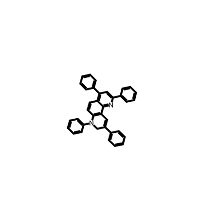 C1=C(c2ccccc2)CN(c2ccccc2)c2ccc3c(-c4ccccc4)cc(-c4ccccc4)nc3c21